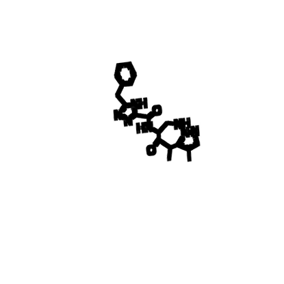 Cc1cnn2c1C(C)C(=O)C(NC(=O)c1nnc(Cc3ccccc3)[nH]1)CN2